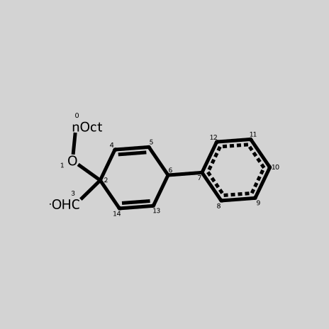 CCCCCCCCOC1([C]=O)C=CC(c2ccccc2)C=C1